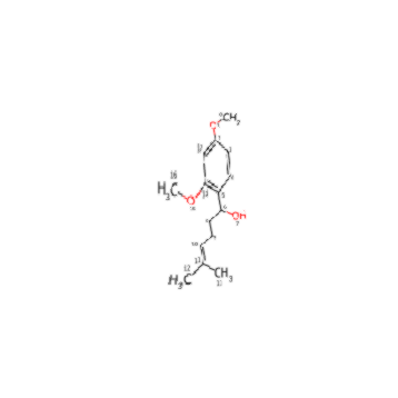 COc1ccc(C(O)CCC=C(C)C)c(OC)c1